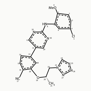 COc1ccc(Cl)cc1Nc1ncc(-c2ccc(C#N)c(O[C@@H](C)Cn3cnnn3)c2)cn1